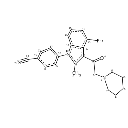 Cc1c(C(=O)CN2CCCCC2)c2c(F)cccc2n1-c1ccc(C#N)cc1